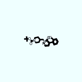 CC(C)(C)OC(=O)N1CCC(Cn2nccc(-c3ccccc3Cl)c2=O)CC1